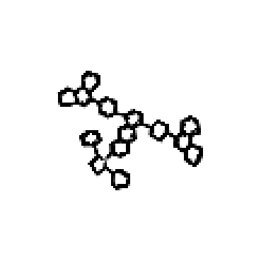 C1=CCC(C2CC=C(c3ccccc3)N2c2ccc3cc4c(C5=CC=C(c6cc7ccccc7c7ccccc67)CC5)ccc(-c5ccc(-c6cc7c(c8ccccc68)C=CCC7)cc5)c4cc3c2)C=C1